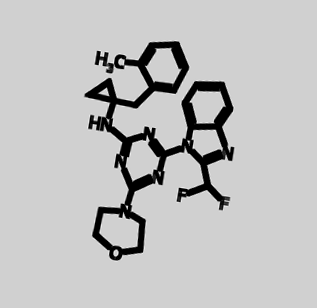 Cc1ccccc1CC1(Nc2nc(N3CCOCC3)nc(-n3c(C(F)F)nc4ccccc43)n2)CC1